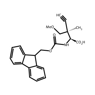 C#C[C@](C)(COC)[C@H](NC(=O)OCC1c2ccccc2-c2ccccc21)C(=O)O